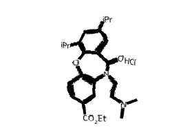 CCOC(=O)c1ccc2c(c1)N(CCN(C)C)C(=O)c1cc(C(C)C)cc(C(C)C)c1O2.Cl